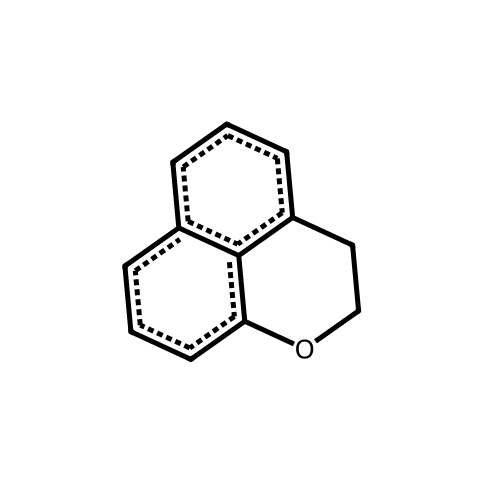 c1cc2c3c(cccc3c1)OCC2